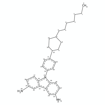 CCCCCCCC1CCC(c2ccc(-n3c4ccc(N)cc4c4cc(N)ccc43)cc2)CC1